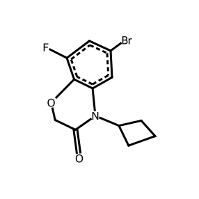 O=C1COc2c(F)cc(Br)cc2N1C1CCC1